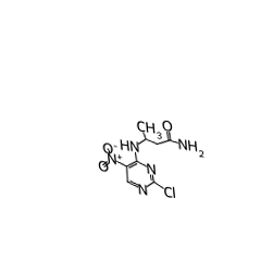 CC(CC(N)=O)Nc1nc(Cl)ncc1[N+](=O)[O-]